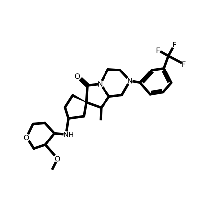 COC1COCCC1NC1CC[C@@]2(C1)C(=O)N1CCN(c3cccc(C(F)(F)F)c3)CC1C2C